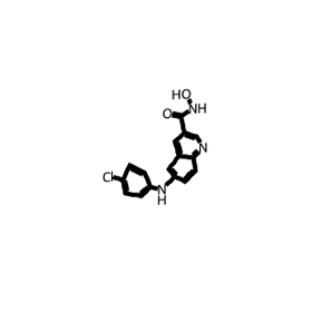 O=C(NO)c1cnc2ccc(Nc3ccc(Cl)cc3)cc2c1